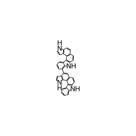 c1ccc2c(c1)[nH]c1ccc3cc(-c4cccc5c4[nH]c4ccc6ccc7[nH]ccc7c6c45)c4cc[nH]c4c3c12